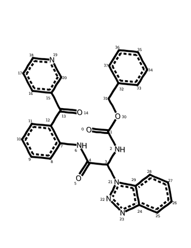 O=C(NC(C(=O)Nc1ccccc1C(=O)c1cccnc1)n1nnc2ccccc21)OCc1ccccc1